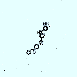 Nc1cccc(-c2cnc3cc(-c4cnn(C5CCN(C(=O)CC6CCCC6)CC5)c4)cnn23)c1